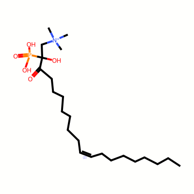 CCCCCCCC/C=C\CCCCCCCC(=O)C(O)(C[N+](C)(C)C)P(=O)(O)O